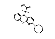 CC(C)(C(=O)O)[C@H]1c2ccccc2Oc2nc(N3CCCCCC3)ccc21